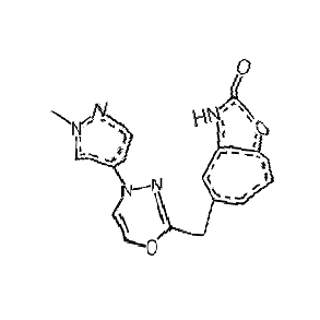 Cn1cc(N2C=COC(Cc3ccc4oc(=O)[nH]c4c3)=N2)cn1